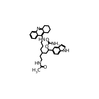 CC(=O)NCCC(CCCNc1c2c(nc3ccccc13)CCCC2)CC(OC(N)=O)c1ccc2[nH]ccc2c1